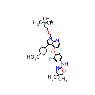 CC1(C)CN=C(Nc2cc(F)c(Oc3ccnc4c3c(C3=CCC(C(=O)O)CC3)cn4COCC[Si](C)(C)C)c(F)c2)OC1